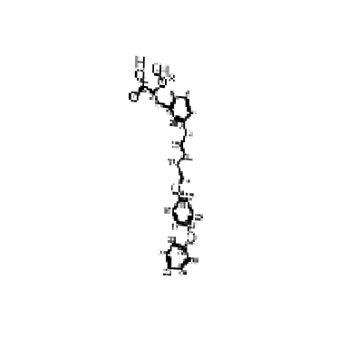 CO[C@@H](Cc1cccc(CCCCCOc2ccc(Oc3ccccc3)cc2)c1)C(=O)O